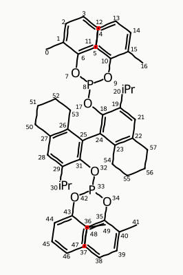 Cc1ccccc1OP(Oc1ccccc1C)Oc1c(C(C)C)cc2c(c1-c1c3c(cc(C(C)C)c1OP(Oc1ccccc1C)Oc1ccccc1C)CCCC3)CCCC2